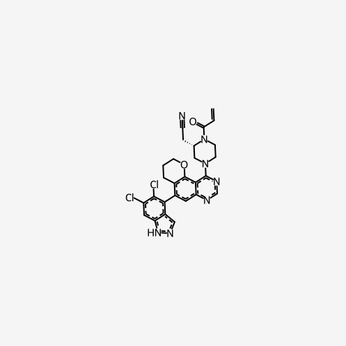 C=CC(=O)N1CCN(c2ncnc3cc(-c4c(Cl)c(Cl)cc5[nH]ncc45)c4c(c23)OCCC4)C[C@@H]1CC#N